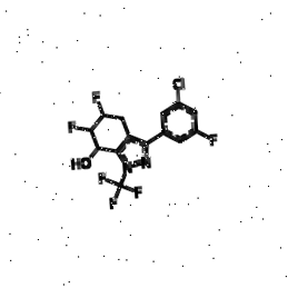 OC1c2c(c(-c3cc(F)cc(Cl)c3)nn2C(F)(F)F)CC(F)C1F